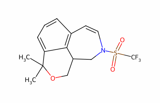 CC1(C)OCC2CN(S(=O)(=O)C(F)(F)F)C=Cc3cccc1c32